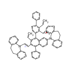 C=Cc1c(-c2ccccc2)ccc(-c2c(C=C)c(/C=C/N3c4ccccc4CCc4ccccc43)c(-c3ccccc3)c3ccc(N4c5ccccc5CCc5ccccc54)cc23)c1C=C